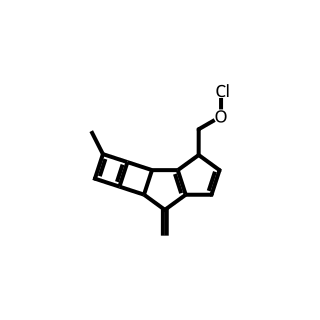 C=C1C2=C(C(COCl)C=C2)C2C3=C(C=C3C)C12